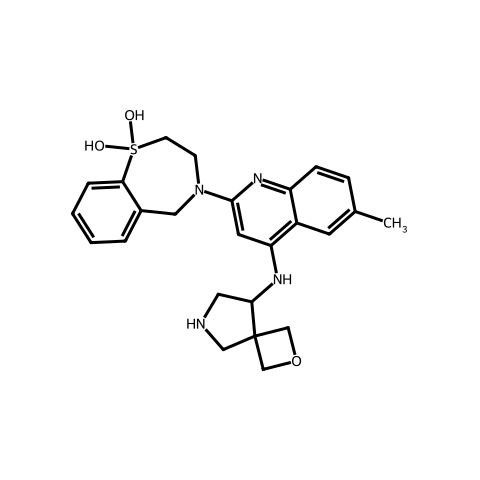 Cc1ccc2nc(N3CCS(O)(O)c4ccccc4C3)cc(NC3CNCC34COC4)c2c1